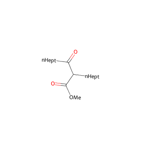 CCCCCCCC(=O)C(CCCCCCC)C(=O)OC